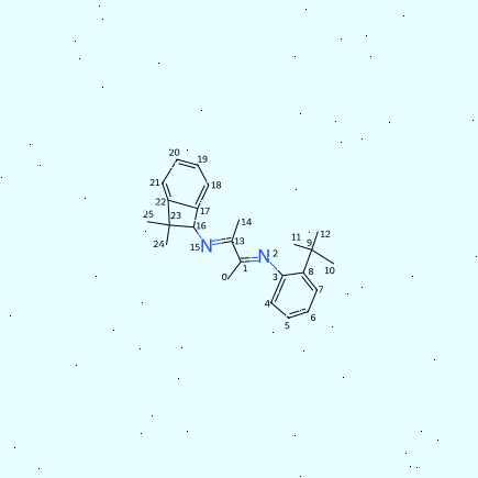 CC(=N\c1ccccc1C(C)(C)C)/C(C)=N/C1c2ccccc2C1(C)C